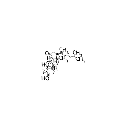 CC(C)=CCC[C@@H](C)[C@H]1CC(=O)[C@H]2[C@@H]3CC=C4C5(CC5)[C@H](O)CC[C@]4(C)[C@H]3CC[C@]12C